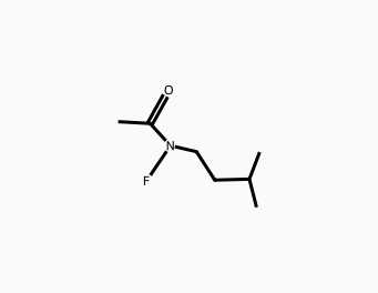 CC(=O)N(F)CCC(C)C